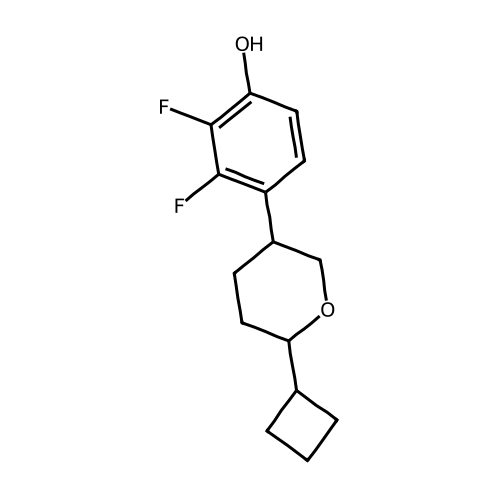 Oc1ccc(C2CCC(C3CCC3)OC2)c(F)c1F